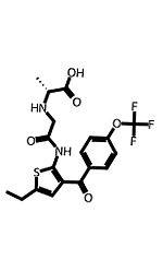 CCc1cc(C(=O)c2ccc(OC(F)(F)F)cc2)c(NC(=O)CN[C@H](C)C(=O)O)s1